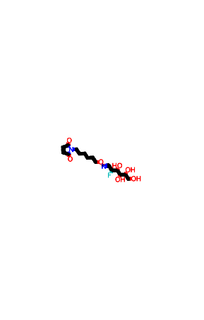 O=C1C=CC(=O)N1CCCCCCO/N=C/C(F)C(O)C(O)C(O)CO